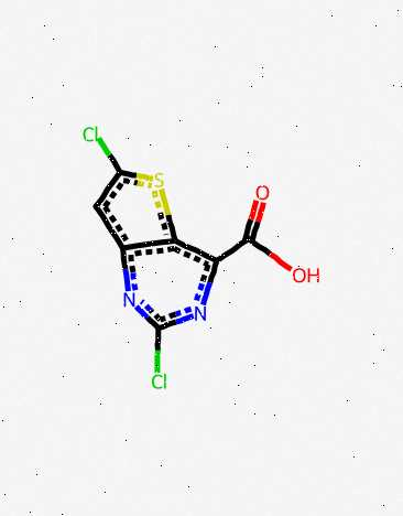 O=C(O)c1nc(Cl)nc2cc(Cl)sc12